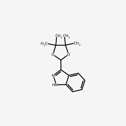 CC1(C)OC(c2n[nH]c3ccccc23)OC1(C)C